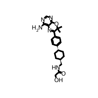 CC1(C)Oc2ncnc(N)c2N=C1c1ccc([C@H]2CC[C@H](CNC(=O)CO)CC2)cc1